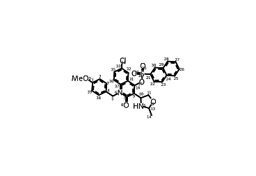 COc1ccc(Cn2c(=O)c(C3COC(C)N3)c(OS(=O)(=O)c3ccc4ccccc4c3)c3cc(Cl)ccc32)cc1